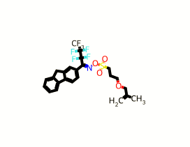 C=C(C)COCCCS(=O)(=O)O/N=C(/c1ccc2c(c1)Cc1ccccc1-2)C(F)(F)C(F)(F)C(F)(F)F